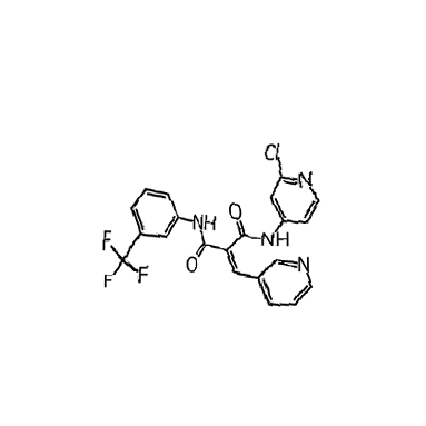 O=C(Nc1cccc(C(F)(F)F)c1)C(=Cc1cccnc1)C(=O)Nc1ccnc(Cl)c1